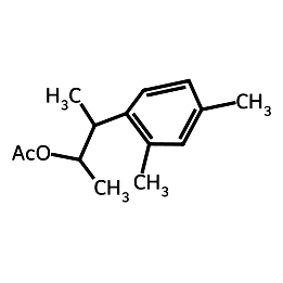 CC(=O)OC(C)C(C)c1ccc(C)cc1C